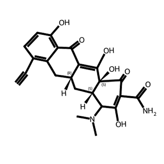 C#Cc1ccc(O)c2c1C[C@H]1C[C@H]3C(N(C)C)C(O)=C(C(N)=O)C(=O)[C@@]3(O)C(O)=C1C2=O